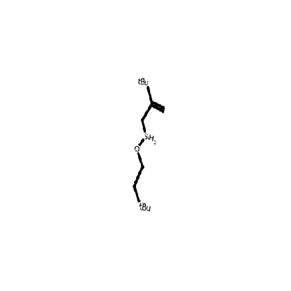 C=C(C[SiH2]OCCC(C)(C)C)C(C)(C)C